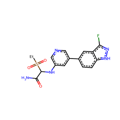 CCS(=O)(=O)C(Nc1cncc(-c2ccc3[nH]nc(F)c3c2)c1)C(N)=O